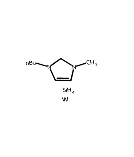 CCCCN1C=CN(C)C1.[SiH4].[W]